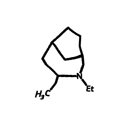 CCN1C(C)CC2CCC1C2